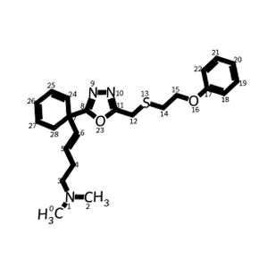 CN(C)CCC=CC1(c2nnc(CSCCOc3ccccc3)o2)C=CC=CC1